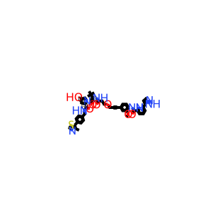 COc1cc(C#CCOCCC(=O)N[C@H](C(=O)N2C[C@H](O)C[C@H]2C(=O)NCc2ccc(-c3scnc3C)cc2)C(C)(C)C)ccc1NC(=O)c1cccc(-c2ccn[nH]2)n1